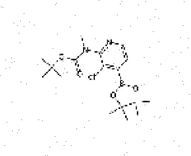 CN(C(=O)OC(C)(C)C)c1nccc(B2OC(C)(C)C(C)(C)O2)c1Cl